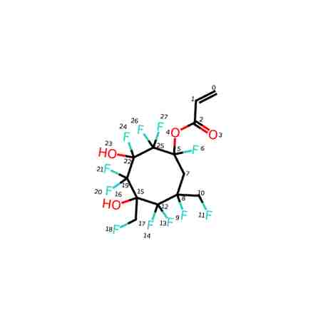 C=CC(=O)OC1(F)CC(F)(CF)C(F)(F)C(O)(CF)C(F)(F)C(O)(F)C1(F)F